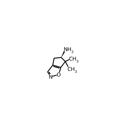 CC1(C)c2oncc2C[C@H]1N